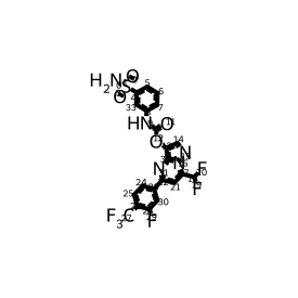 NS(=O)(=O)c1cccc(NC(=O)Oc2cnn3c(C(F)F)cc(-c4ccc(C(F)(F)F)c(F)c4)nc23)c1